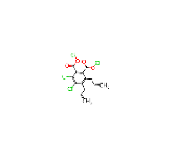 C=CCc1c(Cl)c(Cl)c(C(=O)OCl)c(C(=O)OCl)c1CC=C